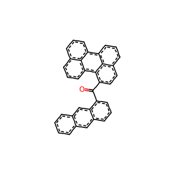 O=C(c1cccc2cc3ccccc3cc12)c1ccc2cccc3c4cccc5cccc(c1c23)c54